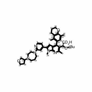 Cc1nc2c(cc(-c3ccnc(N4CCCN(C5CCOC5)CC4)c3)n2C)c(-c2cc(F)c3c(c2C)CCCO3)c1[C@H](OC(C)(C)C)C(=O)O